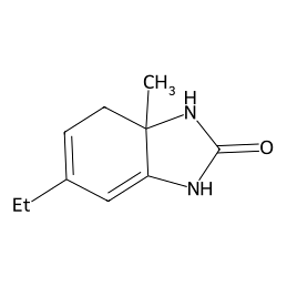 CCC1=CCC2(C)NC(=O)NC2=C1